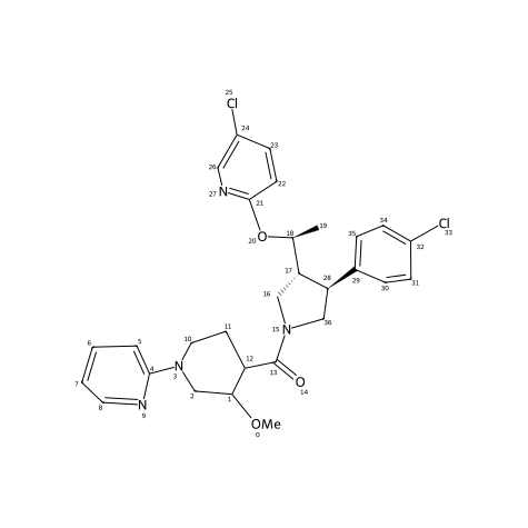 COC1CN(c2ccccn2)CCC1C(=O)N1C[C@H]([C@H](C)Oc2ccc(Cl)cn2)[C@@H](c2ccc(Cl)cc2)C1